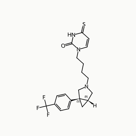 O=c1[nH]c(=S)ccn1CCCCN1C[C@@H]2C[C@]2(c2ccc(C(F)(F)F)cc2)C1